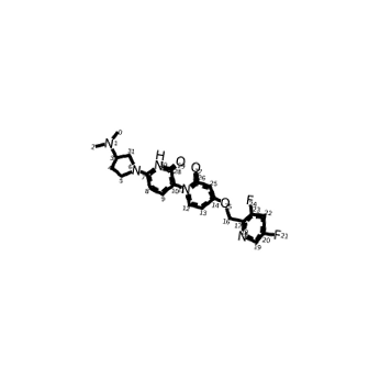 CN(C)C1CCN(c2ccc(-n3ccc(OCc4ncc(F)cc4F)cc3=O)c(=O)[nH]2)C1